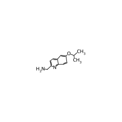 CC(C)Oc1ccc2nc(CN)ccc2c1